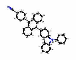 N#Cc1ccc(-c2c3ccccc3c(-c3ccc4c(c3)c3ccccc3n4-c3ccccc3)c3ccccc23)cc1